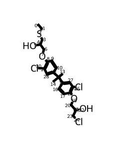 CCSCC(O)COc1ccc(C(C)(C)c2ccc(OC[C@@H](O)CCl)c(Cl)c2)cc1Cl